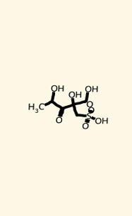 CC(O)C(=O)C(O)(CS(=O)(=O)O)C(=O)O